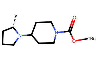 C[C@H]1CCCN1C1CCN(C(=O)OC(C)(C)C)CC1